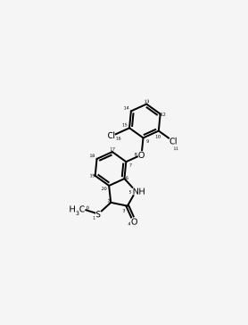 CSC1C(=O)Nc2c(Oc3c(Cl)cccc3Cl)cccc21